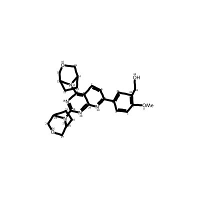 COc1ccc(-c2ccc3c(N4C5CCC4COC5)nc(N4C5CCC4COC5)nc3n2)cc1CO